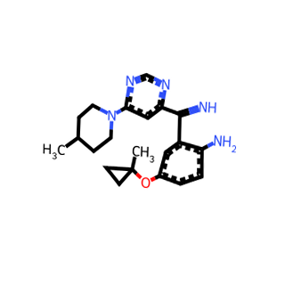 CC1CCN(c2cc(C(=N)c3cc(OC4(C)CC4)ccc3N)ncn2)CC1